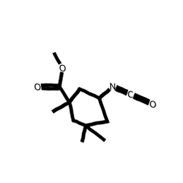 COC(=O)C1(C)CC(N=C=O)CC(C)(C)C1